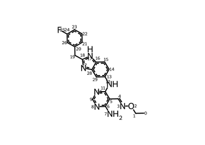 CCON=Cc1c(N)ncnc1Nc1ccc2[nH]c(Cc3cccc(F)c3)nc2c1